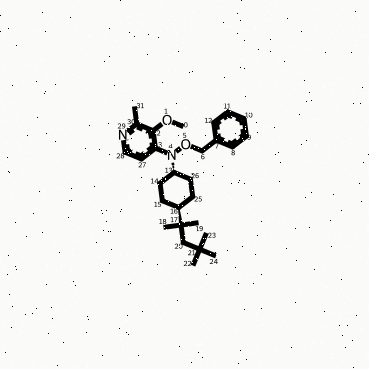 COc1c(N(OCc2ccccc2)[C@H]2CC[C@H](C(C)(C)CC(C)(C)C)CC2)ccnc1C